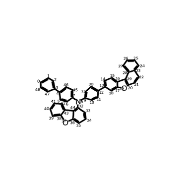 c1ccc(-c2ccc(N(c3ccc(-c4ccc5c(c4)oc4ccc6ccccc6c45)cc3)c3cccc4oc5ccccc5c34)cc2)cc1